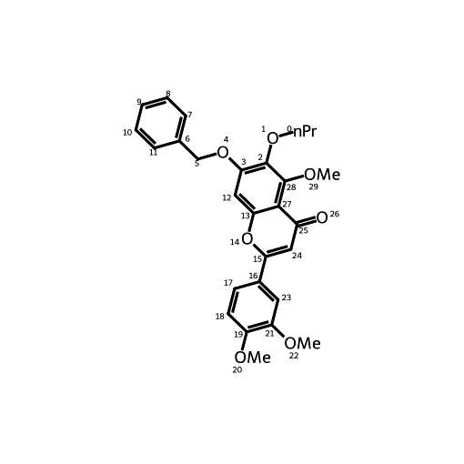 CCCOc1c(OCc2ccccc2)cc2oc(-c3ccc(OC)c(OC)c3)cc(=O)c2c1OC